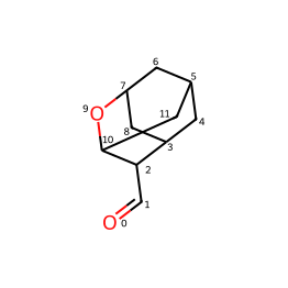 O=CC1C2CC3CC(C2)OC1C3